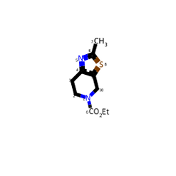 CCOC(=O)N1CCc2nc(C)sc2C1